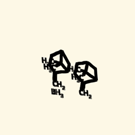 B.C=C1CCC2CC1C2(C)C.C=C1CCC2CC1C2(C)C